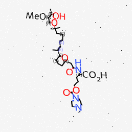 CO[C@@H]([C@@H](C)O)[C@@H](C)OC(C)(C)C[C@H](C)/C=C/C=C(\C)[C@H]1O[C@@H](CC(=O)N[C@H](CCCOC(=O)N2CCN(C)CC2)C(=O)O)CC[C@@H]1C